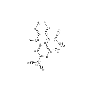 COc1ccccc1N(C(N)=O)c1ccc([N+](=O)[O-])cc1O